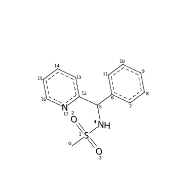 CS(=O)(=O)NC(c1ccccc1)c1ccccn1